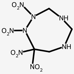 O=[N+]([O-])N1CNCNCC([N+](=O)[O-])([N+](=O)[O-])N1[N+](=O)[O-]